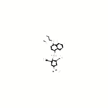 CCC(Nc1ccc(N=Nc2c(C#N)cc([N+](=O)[O-])cc2C#N)c2ccccc12)OC